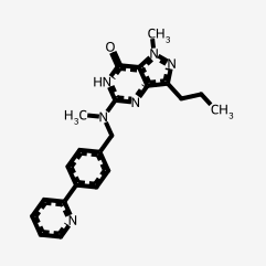 CCCc1nn(C)c2c(=O)[nH]c(N(C)Cc3ccc(-c4ccccn4)cc3)nc12